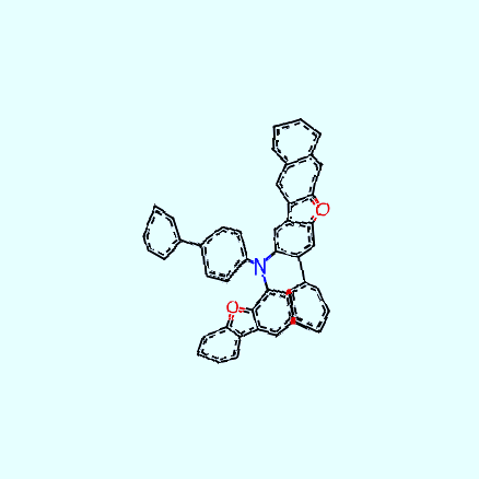 c1ccc(-c2ccc(N(c3cc4c(cc3-c3ccccc3)oc3cc5ccccc5cc34)c3cccc4c3oc3ccccc34)cc2)cc1